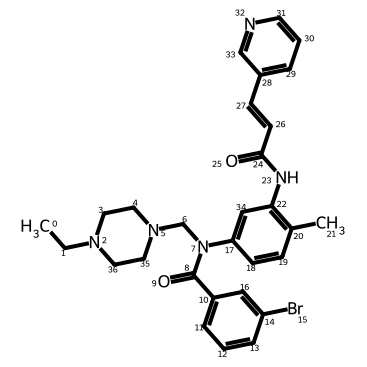 CCN1CCN(CN(C(=O)c2cccc(Br)c2)c2ccc(C)c(NC(=O)C=Cc3cccnc3)c2)CC1